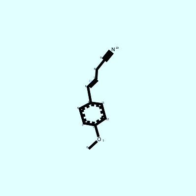 COc1ccc(/C=C/CC#N)cc1